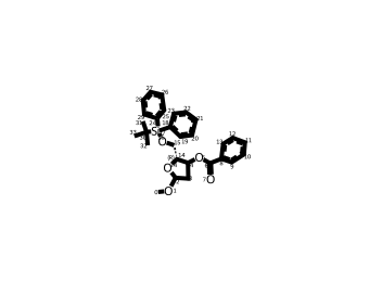 COC1CC(OC(=O)c2ccccc2)[C@@H](CO[Si](c2ccccc2)(c2ccccc2)C(C)(C)C)O1